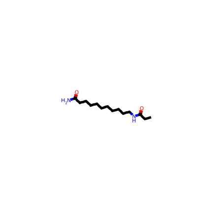 CCC(=O)NCCCCCCCCCCC(N)=O